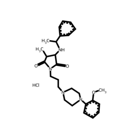 COc1ccccc1N1CCN(CCCN2C(=O)C(C)C(NC(C)c3ccccc3)C2=O)CC1.Cl